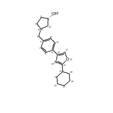 O[C@H]1CCN(Cc2ccc(-c3noc(C4CCCCC4)n3)cc2)C1